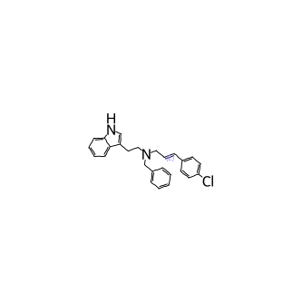 Clc1ccc(/C=C/CN(CCc2c[nH]c3ccccc23)Cc2ccccc2)cc1